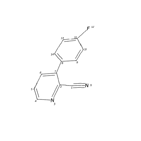 N#Cc1ncccc1-c1ccc(F)cc1